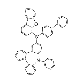 c1ccc(-c2ccc(N(c3ccc4c(c3)-c3ccccc3-c3ccccc3N4c3ccccc3)c3cccc4c3oc3ccccc34)cc2)cc1